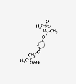 COC(C)(C)CCOc1ccc(OCC(C)OS(C)(=O)=O)cc1